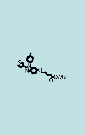 COC(=O)CCCCOc1ccc2nc(-c3ccsc3)n(-c3ccc(C)cc3)c2c1